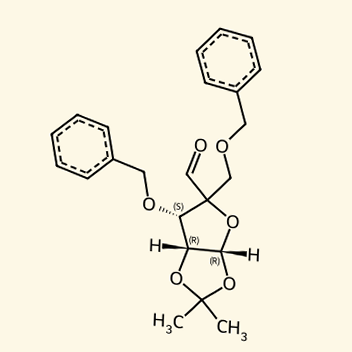 CC1(C)O[C@H]2OC(C=O)(COCc3ccccc3)[C@@H](OCc3ccccc3)[C@H]2O1